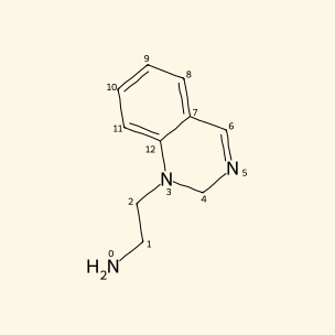 NCCN1CN=Cc2ccccc21